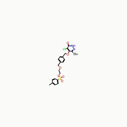 Cc1ccc(S(=O)(=O)OCCOCc2ccc(COc3c(C(C)(C)C)n[nH]c(=O)c3Cl)cc2)cc1